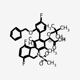 Cc1c(-c2ccc(F)cc2OCc2ccccc2)c([C@H](OC(C)(C)C)C(=O)O)c(C)c2c1-c1c(F)ccc(F)c1CN2S(C)(=O)=O